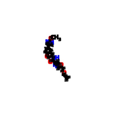 COc1ncc(-c2ccc3c(c2)CC(NC(=O)c2cc4n(n2)CC(CCOCC2CC2)O4)CO3)cn1